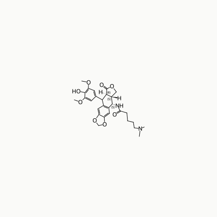 COc1cc(C2c3cc4c(cc3[C@@H](NC(=O)CCCCN(C)C)[C@H]3COC(=O)[C@H]23)OCO4)cc(OC)c1O